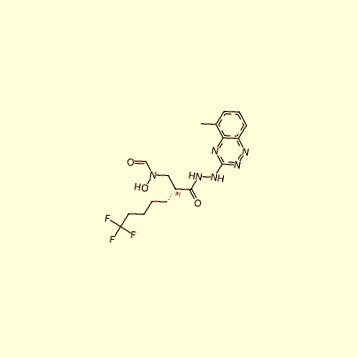 Cc1cccc2nnc(NNC(=O)[C@H](CCCCC(F)(F)F)CN(O)C=O)nc12